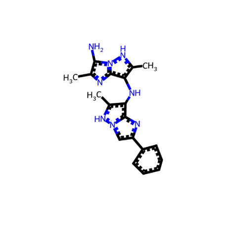 Cc1nc2c(Nc3c(C)[nH]n4cc(-c5ccccc5)nc34)c(C)[nH]n2c1N